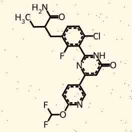 CCC(Cc1ccc(Cl)c(-c2nc(-c3ccc(OC(F)F)nc3)cc(=O)[nH]2)c1F)C(N)=O